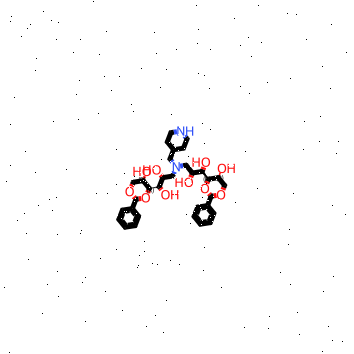 OC(CN(CC1CCNCC1)CC(O)C(O)[C@@H]1OC(c2ccccc2)OC[C@H]1O)C(O)[C@@H]1OC(c2ccccc2)OC[C@H]1O